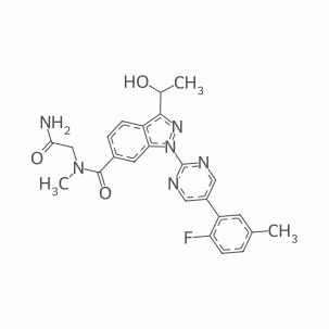 Cc1ccc(F)c(-c2cnc(-n3nc(C(C)O)c4ccc(C(=O)N(C)CC(N)=O)cc43)nc2)c1